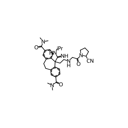 CC(C)NC(=N)C1(CCNCC(=O)N2CCCC2C#N)c2ccc(C(=O)N(C)C)cc2CCc2cc(C(=O)N(C)C)ccc21